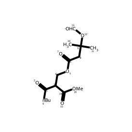 CCCCC(=O)C(COC(=O)CC(C)(C)O[C]=O)C(=O)OC